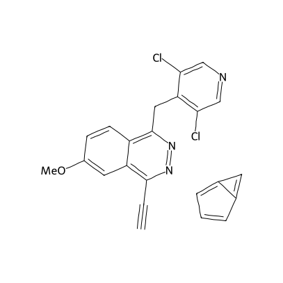 C#Cc1nnc(Cc2c(Cl)cncc2Cl)c2ccc(OC)cc12.c1cc2cc-2c1